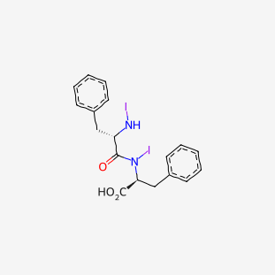 O=C(O)[C@H](Cc1ccccc1)N(I)C(=O)[C@H](Cc1ccccc1)NI